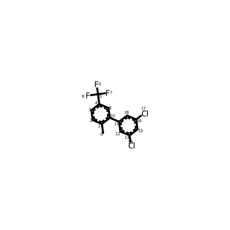 Cc1ccc(C(F)(F)F)cc1-c1cc(Cl)cc(Cl)c1